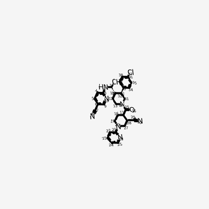 CC(Nc1ccc(C#N)cn1)[C@H]1CCN(C(=O)C2CCN(c3ccccn3)CC2C#N)C[C@@H]1c1ccc(Cl)cc1